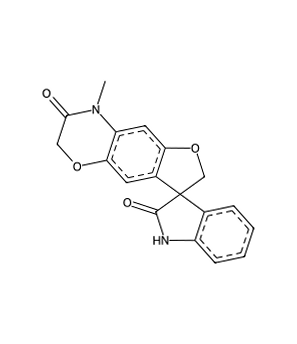 CN1C(=O)COc2cc3c(cc21)OCC31C(=O)Nc2ccccc21